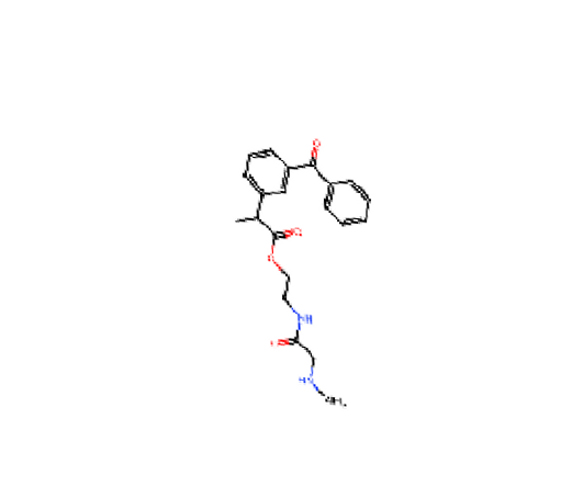 CC(C(=O)OCCNC(=O)C[NH][AlH2])c1cccc(C(=O)c2ccccc2)c1